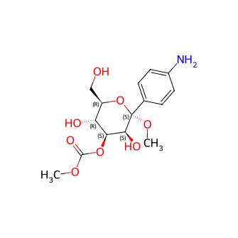 COC(=O)O[C@H]1[C@H](O)[C@@H](CO)O[C@@](OC)(c2ccc(N)cc2)[C@H]1O